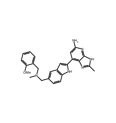 COc1ccccc1CN(C)Cc1ccc2[nH]c(-c3cc(N)nc4[nH]c(C)nc34)cc2c1